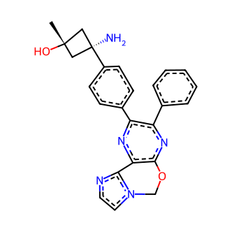 C[C@]1(O)C[C@](N)(c2ccc(-c3nc4c(nc3-c3ccccc3)OCn3ccnc3-4)cc2)C1